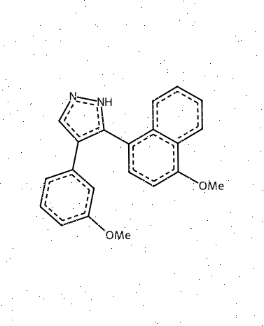 COc1cccc(-c2cn[nH]c2-c2ccc(OC)c3ccccc23)c1